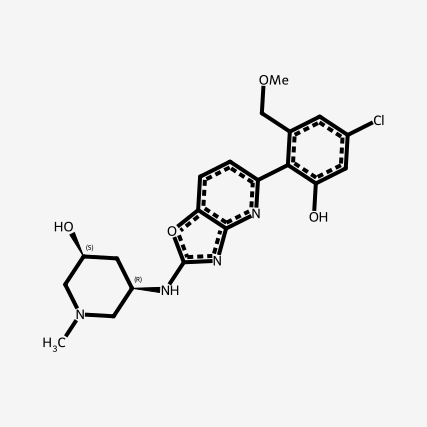 COCc1cc(Cl)cc(O)c1-c1ccc2oc(N[C@@H]3C[C@H](O)CN(C)C3)nc2n1